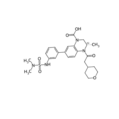 C[C@H]1CN(C(=O)O)c2cc(-c3cccc(NS(=O)(=O)N(C)C)c3)ccc2N1C(=O)CC1CCOCC1